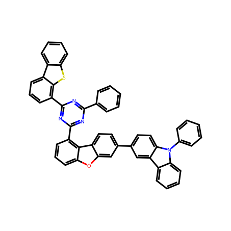 c1ccc(-c2nc(-c3cccc4c3sc3ccccc34)nc(-c3cccc4oc5cc(-c6ccc7c(c6)c6ccccc6n7-c6ccccc6)ccc5c34)n2)cc1